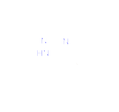 CSC(C)c1ncn[nH]1